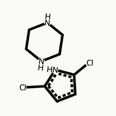 C1CNCCN1.Clc1ccc(Cl)[nH]1